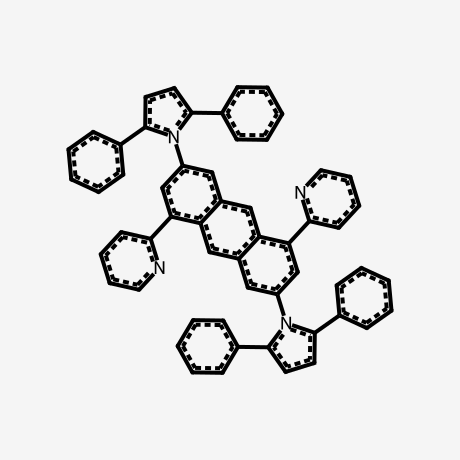 c1ccc(-c2ccc(-c3ccccc3)n2-c2cc(-c3ccccn3)c3cc4cc(-n5c(-c6ccccc6)ccc5-c5ccccc5)cc(-c5ccccn5)c4cc3c2)cc1